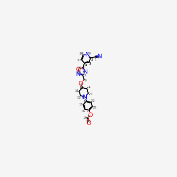 N#Cc1cc(-c2nc(COC3CCN(c4ccc(OC=O)cc4)CC3)no2)ccn1